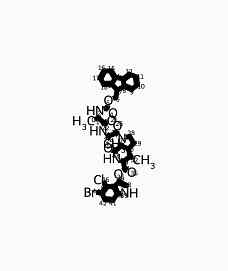 CC(NC(=O)OCC1c2ccccc2-c2ccccc21)C(=O)NC(C)C(=O)N1CCC2C(C)C(C(=O)Oc3c[nH]c4ccc(Br)c(Cl)c34)NC(=O)C21